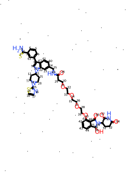 NC(=S)c1cccc(-c2cn(C3CCN(c4nccs4)CC3)c3cc(CNC(=O)CCOCCOCCOCCOc4cccc5c4C(=O)N(C4CCC(=O)NC4=O)C5O)ccc23)c1